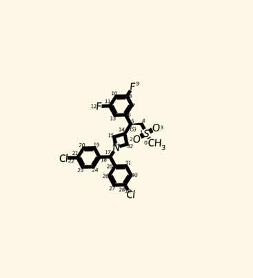 CS(=O)(=O)C[C@H](c1cc(F)cc(F)c1)C1CN(C(c2ccc(Cl)cc2)c2ccc(Cl)cc2)C1